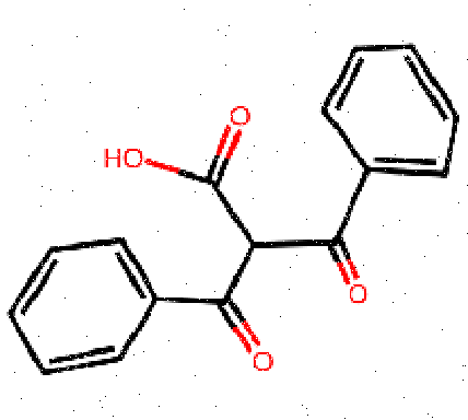 O=C(O)C(C(=O)c1ccccc1)C(=O)c1ccccc1